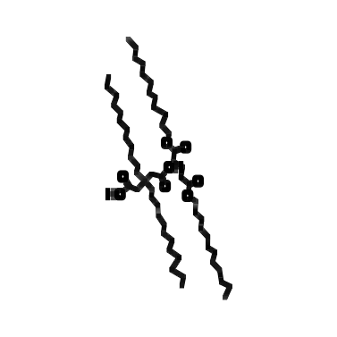 CCCCCCCCCCCCC(CCCCCCCCCCCC)(CC(=O)O)CC(=O)O.CCCCCCCCCCCCOC(=O)CCCC(=O)OCCCCCCCCCCCC